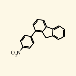 O=[N+]([O-])c1ccc(-c2cccc3c2Cc2ccccc2-3)cc1